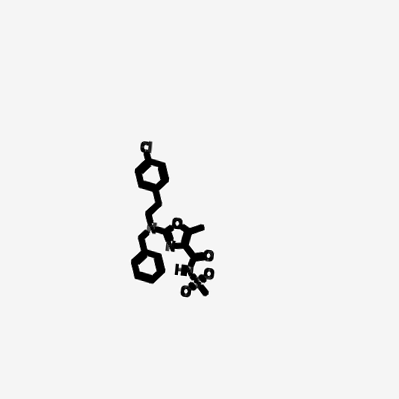 Cc1oc(N(CCc2ccc(Cl)cc2)Cc2ccccc2)nc1C(=O)NS(C)(=O)=O